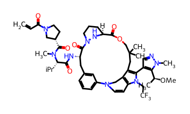 C=CC(=O)N1CC[C@H](C(=O)N(C)[C@H](C(=O)N[C@H]2Cc3cccc(c3)N3C=Cc4c(c(c(-c5cnn(C)c5[C@H](C)OC)n4CC(F)(F)F)CC(C)(C)COC(=O)[C@@H]4CCCN(N4)C2=O)C3)C(C)C)C1